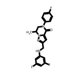 CC1CN(c2ccc(F)cc2)C(=O)c2cc(CNc3cc(F)cc(F)c3)nn21